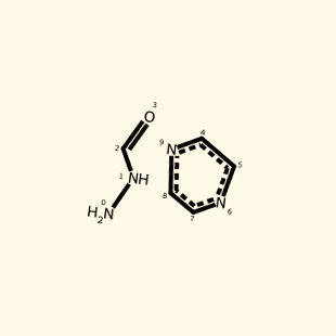 NNC=O.c1cnccn1